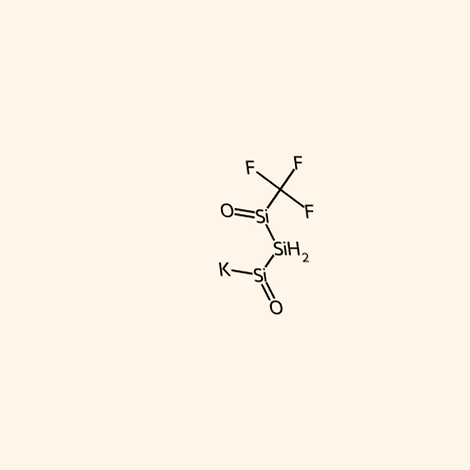 O=[Si]([K])[SiH2][Si](=O)C(F)(F)F